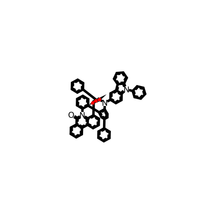 O=c1c2ccccc2c2cccc3c2n1-c1ccccc1C31c2cc(-c3ccccc3)ccc2N(c2ccc3c(c2)c2ccccc2n3-c2ccccc2)c2ccc(-c3ccccc3)cc21